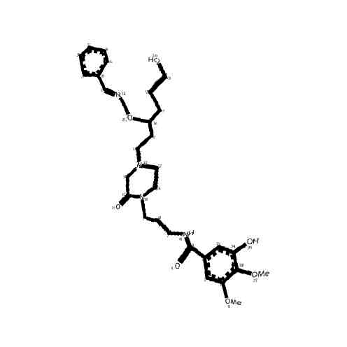 COc1cc(C(=O)NCCCN2CCN(CCC(CCCO)O/N=C/c3ccccc3)CC2=O)cc(O)c1OC